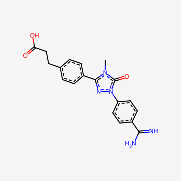 Cn1c(-c2ccc(CCC(=O)O)cc2)nn(-c2ccc(C(=N)N)cc2)c1=O